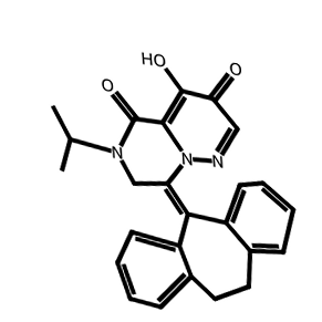 CC(C)N1CC(=C2c3ccccc3CCc3ccccc32)n2ncc(=O)c(O)c2C1=O